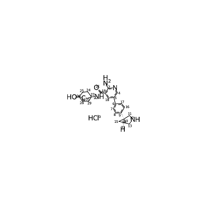 Cl.Nc1ncc(-c2ccc([C@]34CNC[C@H]3C4)cc2)cc1C(=O)NC12CCC(O)(CC1)CC2